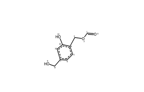 O=COCc1ccc(CO)cc1O